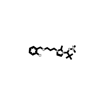 CC1N(CCCOCc2ccccc2Cl)C=CN1C(O[SiH](C)C)C(C)(C)C